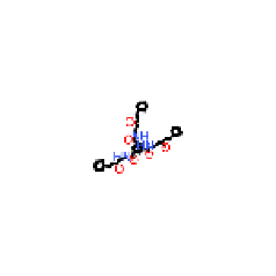 O=C(C=Cc1ccccc1)CCNC(=O)c1cc(C(=O)NCCC(=O)C=Cc2ccccc2)cc(C(=O)NCCC(=O)C=Cc2ccccc2)c1